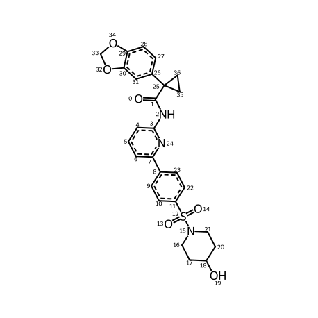 O=C(Nc1cccc(-c2ccc(S(=O)(=O)N3CCC(O)CC3)cc2)n1)C1(c2ccc3c(c2)OCO3)CC1